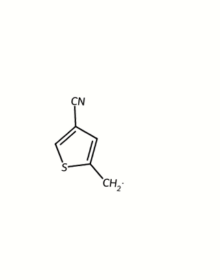 [CH2]c1cc(C#N)cs1